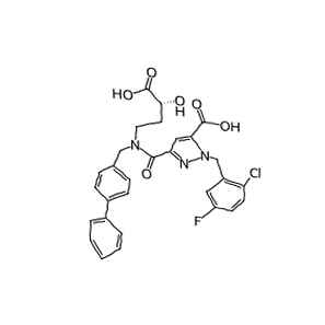 O=C(O)c1cc(C(=O)N(CC[C@@H](O)C(=O)O)Cc2ccc(-c3ccccc3)cc2)nn1Cc1cc(F)ccc1Cl